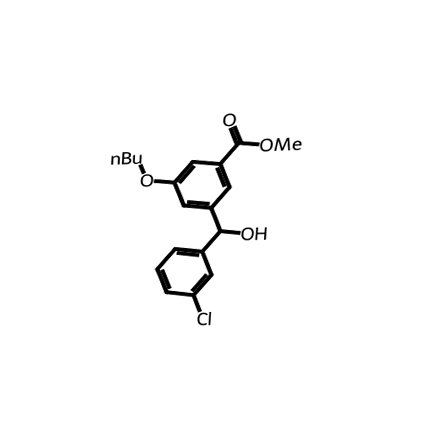 CCCCOc1cc(C(=O)OC)cc(C(O)c2cccc(Cl)c2)c1